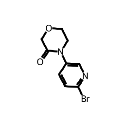 O=C1COCCN1c1ccc(Br)nc1